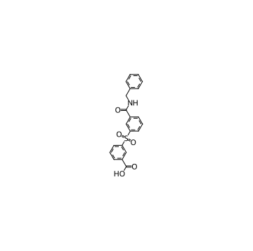 O=C(O)c1cccc(S(=O)(=O)c2cccc(C(=O)NCc3ccccc3)c2)c1